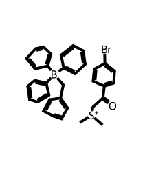 C[S+](C)CC(=O)c1ccc(Br)cc1.c1ccc(C[B-](c2ccccc2)(c2ccccc2)c2ccccc2)cc1